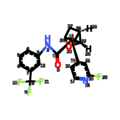 O=C(Nc1cccc(C(F)(F)F)c1)[C@@H]1[C@@H](c2ccnc(F)c2)[C@H]2O[C@]13C[C@H]2C3